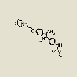 CCOC(=O)Nc1ccc(-c2c(N)c3ccc(OCCCN4CCOCC4)cc3n2CC)cc1